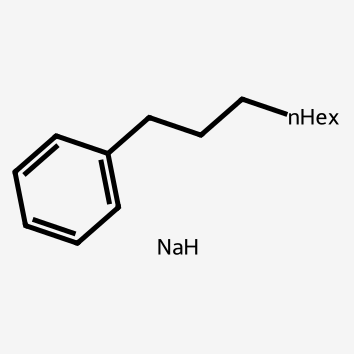 CCCCCCCCCc1ccccc1.[NaH]